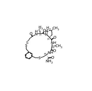 CC(C)C[C@@H]1NC(=O)[C@H](C)NC(=O)CCSCc2cccc(c2)CSC[C@@H](C(N)=O)NC(=O)[C@H](C)NC1=O